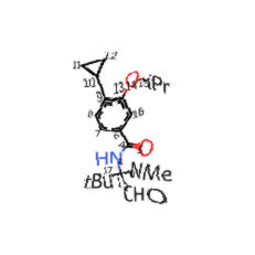 CN[C@](C=O)(NC(=O)c1ccc(C2CC2)c(OC(C)C)c1)C(C)(C)C